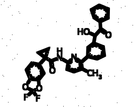 Cc1ccc(NC(=O)C2(c3ccc4c(c3)OC(F)(F)O4)CC2)nc1-c1cccc(C(O)C(=O)c2ccccc2)c1